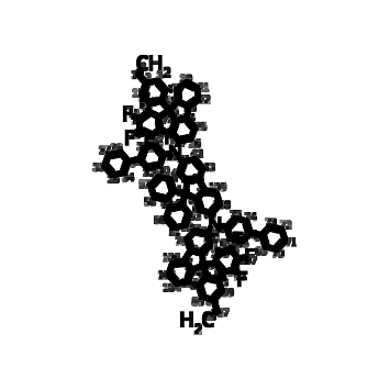 C=Cc1ccc(C2(c3c(F)c(F)c(F)c(F)c3F)c3ccccc3-c3ccc(N(c4ccc(-c5ccccc5)cc4)c4ccc5c(c4)C(c4ccccc4)(c4ccccc4)c4cc(N(c6ccc(-c7ccccc7)cc6)c6ccc7c(c6)C(c6ccc(C=C)cc6)(c6c(F)c(F)c(F)c(F)c6F)c6ccccc6-7)ccc4-5)cc32)cc1